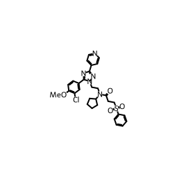 COc1ccc(-c2nc(-c3ccncc3)nn2CCN(C(=O)CCS(=O)(=O)c2ccccc2)C2CCCC2)cc1Cl